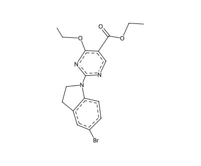 CCOC(=O)c1cnc(N2CCc3cc(Br)ccc32)nc1OCC